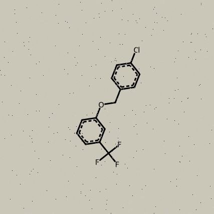 FC(F)(F)c1c[c]cc(OCc2ccc(Cl)cc2)c1